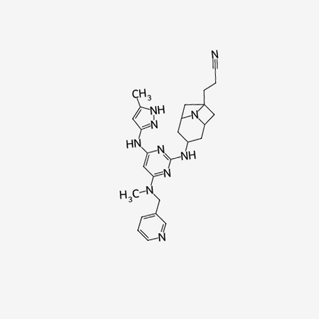 Cc1cc(Nc2cc(N(C)Cc3cccnc3)nc(NC3CC4CC5(CCC#N)CC(C3)N45)n2)n[nH]1